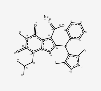 Cc1n[nH]c(C)c1C(c1ccccc1)c1sc2c(c1C(=O)[O-])c(=O)n(C)c(=O)n2CC(C)C.[Na+]